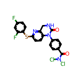 O=C(c1ccc(N2C(=O)NCc3nc(Sc4ccc(F)cc4F)ccc32)cc1)N(Cl)Cl